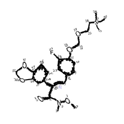 CON(C)C(=O)/C(=C/c1ccc(OCOCC[Si](C)(C)C)c(F)c1)c1ccc2c(c1)OCO2